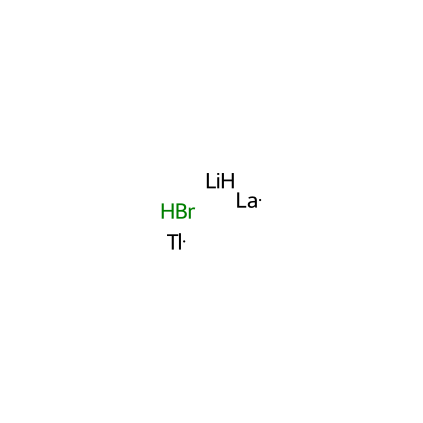 Br.[La].[LiH].[Tl]